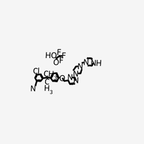 CC(C)(c1ccc(OCc2ccnc(N3CCN(CN4CCNCC4)CC3)n2)cc1)c1cc(Cl)cc(C#N)c1.O=C(O)C(F)(F)F